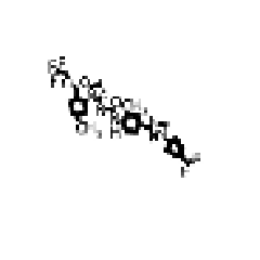 Cc1ccc(COCC(F)(F)F)c(N2C(=O)CSC2=NC(=O)Nc2ccc(-c3ncn(-c4ccc(C(F)F)cc4)n3)cc2C)c1